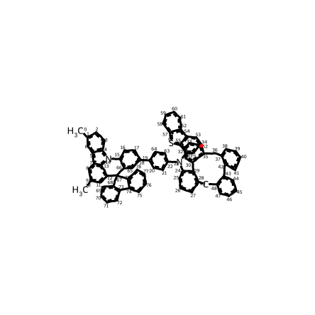 Cc1ccc2c(c1)c1cc(C)cc3c1n2-c1ccc(-c2ccc(N(c4cccc5c4-c4ccccc4Cc4ccccc4-c4ccccc4C5)c4cccc5c4sc4ccccc45)cc2)cc1C31c2ccccc2-c2ccccc21